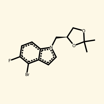 CC1(C)OC[C@H](Cn2ccc3c(Br)c(F)ccc32)O1